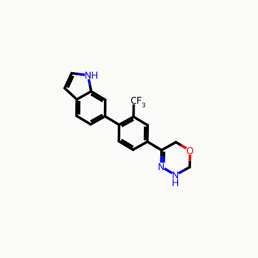 FC(F)(F)c1cc(C2=NNCOC2)ccc1-c1ccc2cc[nH]c2c1